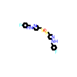 Fc1ccc(CNc2ccc(CSOSCc3ccc(NCc4ccc(F)cc4)nc3)cn2)cc1